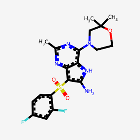 Cc1nc(N2CCOC(C)(C)C2)c2[nH]c(N)c(S(=O)(=O)c3ccc(F)cc3F)c2n1